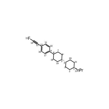 CCC[C@H]1CC[C@H](C2CCC(c3ccc(C#CF)cc3)CC2)CC1